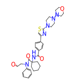 O=CCN(C(=O)C1(NC(=O)c2ccc(-c3csc(N4CCN(N5CCOCC5)CC4)n3)cc2)CCCCC1)c1ccccc1